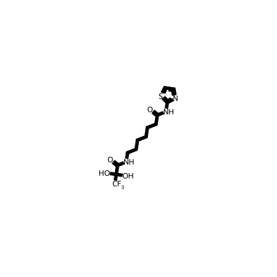 O=C(CCCCCCNC(=O)C(O)(O)C(F)(F)F)Nc1nccs1